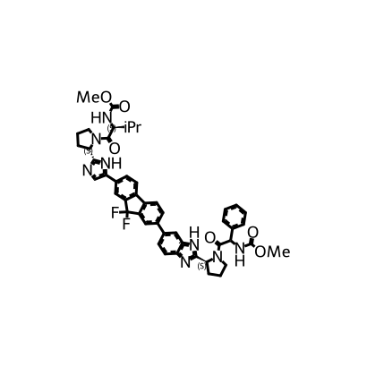 COC(=O)NC(C(=O)N1CCC[C@H]1c1nc2ccc(-c3ccc4c(c3)C(F)(F)c3cc(-c5cnc([C@@H]6CCCN6C(=O)[C@@H](NC(=O)OC)C(C)C)[nH]5)ccc3-4)cc2[nH]1)c1ccccc1